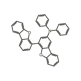 c1ccc(N(c2ccccc2)c2cc(-c3cccc4c3oc3ccccc34)c3oc4ccccc4c3c2)cc1